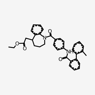 CCOC(=O)CC1CCCN(C(=O)c2ccc(NC(=O)c3ccccc3-c3ccccc3C)cc2)c2ccccc21